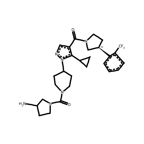 NC1CCN(C(=O)N2CCC(n3ncc(C(=O)N4CC[C@@H](c5ccccc5C(F)(F)F)C4)c3C3CC3)CC2)C1